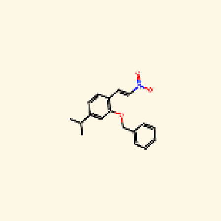 CC(C)c1ccc(C=C[N+](=O)[O-])c(OCc2ccccc2)c1